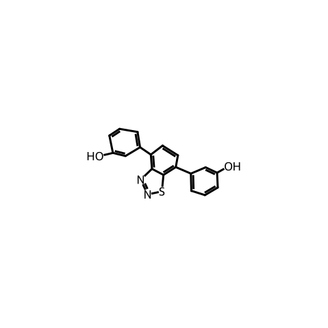 Oc1cccc(-c2ccc(-c3cccc(O)c3)c3snnc23)c1